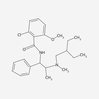 CCC(CC)CN(C)C(C)C(NC(=O)c1c(Cl)cccc1OC)c1ccccc1